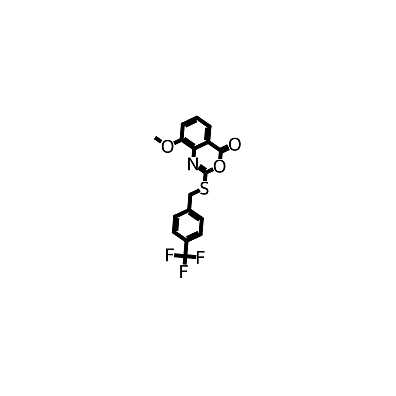 COc1cccc2c(=O)oc(SCc3ccc(C(F)(F)F)cc3)nc12